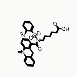 CN1c2ccccc2Cc2c(C(=O)N(CCCCCC(=O)O)S(=O)(=O)c3ccccc3Br)cccc21